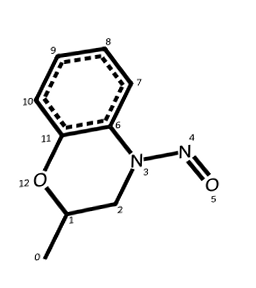 CC1CN(N=O)c2ccccc2O1